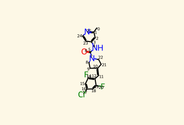 Cc1cc(NC(=O)N2CCC(=Cc3c(F)cc(Cl)cc3F)CC2)ccn1